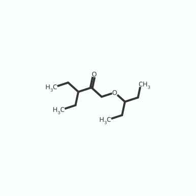 CCC(CC)OCC(=O)C(CC)CC